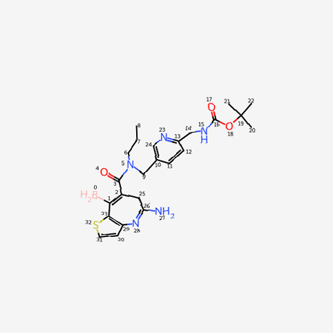 BC1=C(C(=O)N(CCC)Cc2ccc(CNC(=O)OC(C)(C)C)nc2)CC(N)=Nc2ccsc21